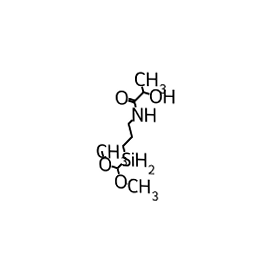 COC(OC)[SiH2]CCCNC(=O)C(C)O